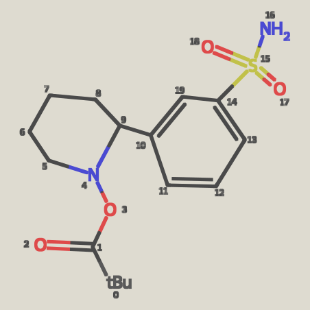 CC(C)(C)C(=O)ON1CCCCC1c1cccc(S(N)(=O)=O)c1